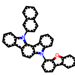 c1ccc2cc(-n3c4ccccc4c4ccc5c(c6ccccc6n5-c5cccc6c5oc5ccccc56)c43)ccc2c1